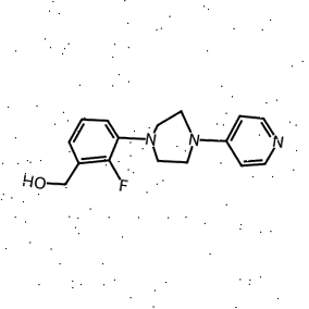 OCc1cccc(N2CCN(c3ccncc3)CC2)c1F